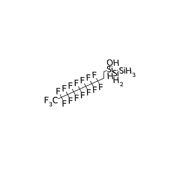 O[SiH](CCC(F)(F)C(F)(F)C(F)(F)C(F)(F)C(F)(F)C(F)(F)C(F)(F)C(F)(F)F)[SiH2][SiH3]